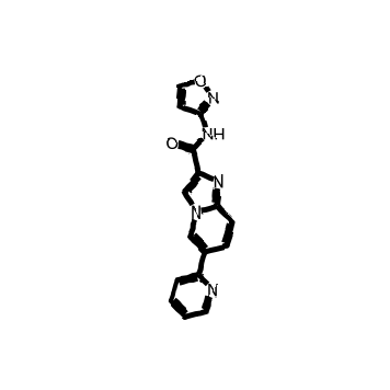 O=C(Nc1ccon1)c1cn2cc(-c3ccccn3)ccc2n1